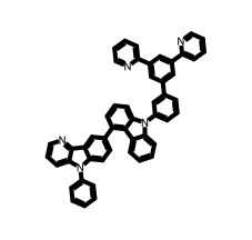 c1ccc(-n2c3ccc(-c4cccc5c4c4ccccc4n5-c4cccc(-c5cc(-c6ccccn6)cc(-c6ccccn6)c5)c4)cc3c3ncccc32)cc1